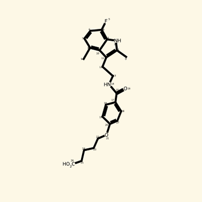 Cc1[nH]c2c(F)ccc(C)c2c1CCNC(=O)c1ccc(OCCCCC(=O)O)cc1